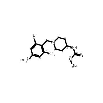 CCOC(=O)c1cc(Cl)c(CN2CCC(NC(=O)OC(C)(C)C)CC2)c(C(F)(F)F)c1